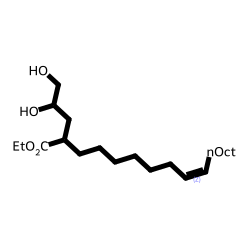 CCCCCCCC/C=C\CCCCCCC(CC(O)CO)C(=O)OCC